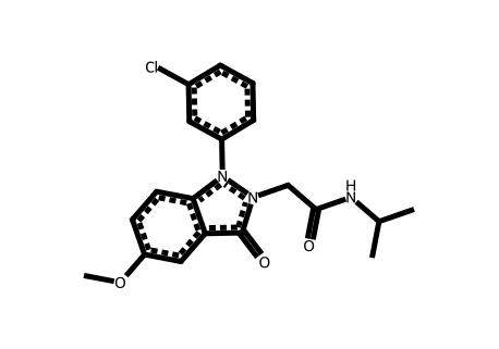 COc1ccc2c(c1)c(=O)n(CC(=O)NC(C)C)n2-c1cccc(Cl)c1